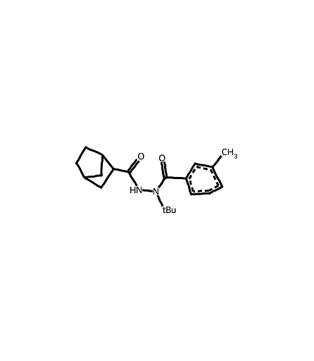 Cc1cccc(C(=O)N(NC(=O)C2CC3CCC2C3)C(C)(C)C)c1